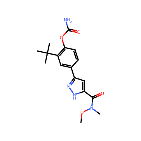 CON(C)C(=O)c1cc(-c2ccc(OC(N)=O)c(C(C)(C)C)c2)n[nH]1